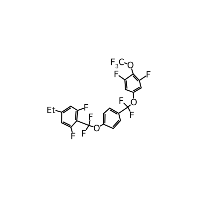 CCc1cc(F)c(C(F)(F)Oc2ccc(C(F)(F)Oc3cc(F)c(OC(F)(F)F)c(F)c3)cc2)c(F)c1